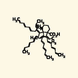 C=C/C=C/C=C/C/C(=C/C)N1CCCC(C(=O)O)(/C(=C\C)C/C=C/C=C/C=C)C1(/C(=C\C)C/C=C/C=C/C=C)/C(=C\C)C/C=C/C=C/C=C